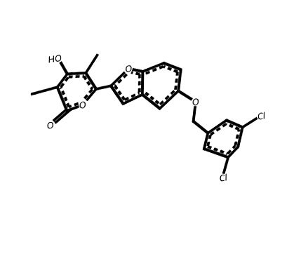 Cc1c(-c2cc3cc(OCc4cc(Cl)cc(Cl)c4)ccc3o2)oc(=O)c(C)c1O